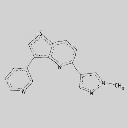 Cn1cc(-c2ccc3scc(-c4cccnc4)c3n2)cn1